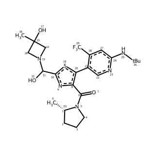 C[C@H]1CCCN1C(=O)c1nc(C(O)N2CC(C)(O)C2)sc1-c1cnc(NC(C)(C)C)cc1C(F)(F)F